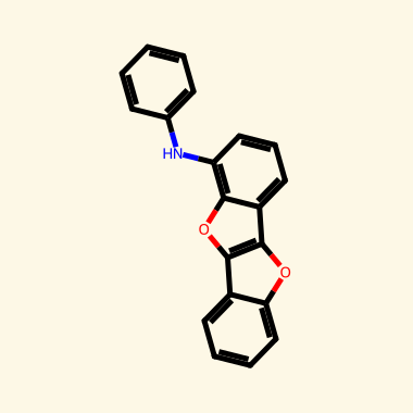 c1ccc(Nc2cccc3c2oc2c4ccccc4oc32)cc1